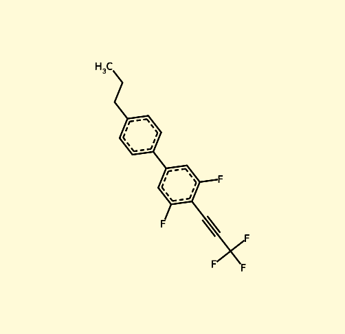 CCCc1ccc(-c2cc(F)c(C#CC(F)(F)F)c(F)c2)cc1